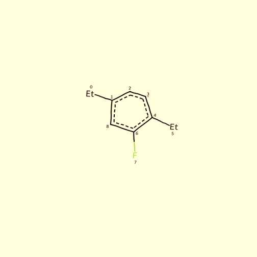 CCc1c[c]c(CC)c(F)c1